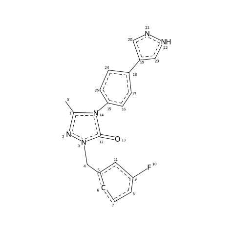 Cc1nn(Cc2cccc(F)c2)c(=O)n1-c1ccc(-c2cn[nH]c2)cc1